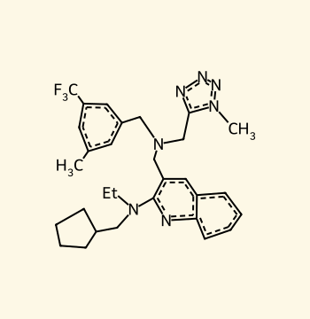 CCN(CC1CCCC1)c1nc2ccccc2cc1CN(Cc1cc(C)cc(C(F)(F)F)c1)Cc1nnnn1C